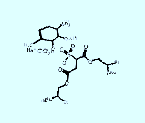 CC1CCC(C)C(C(=O)O)C1C(=O)O.CCCCC(CC)COC(=O)CC(C(=O)OCC(CC)CCCC)S(=O)(=O)[O-].[Na+]